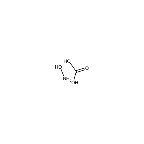 NO.O=C(O)O